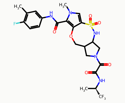 Cc1cc(NC(=O)c2c3c(cn2C)S(=O)(=O)NC2CN(C(=O)C(=O)N[C@H](C)C(F)(F)F)CC2CO3)ccc1F